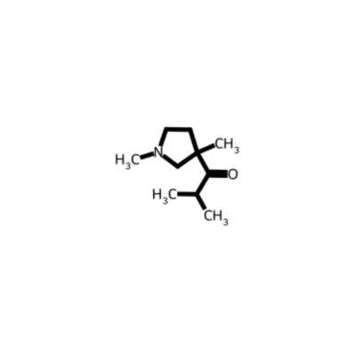 CC(C)C(=O)C1(C)CCN(C)C1